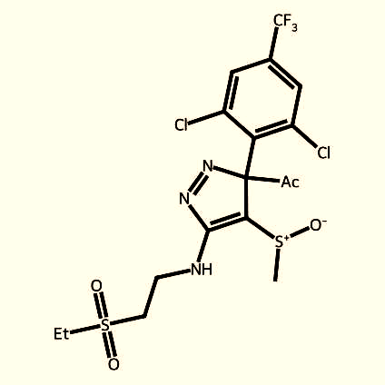 CCS(=O)(=O)CCNC1=C([S+](C)[O-])C(C(C)=O)(c2c(Cl)cc(C(F)(F)F)cc2Cl)N=N1